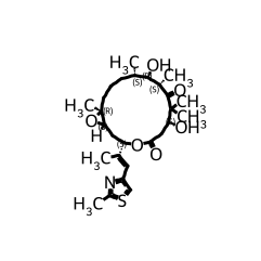 CC(=Cc1csc(C)n1)[C@@H]1C[C@@H]2O[C@]2(C)CCC[C@H](C)[C@@H](O)[C@H](C)C(=O)C(C)(C)[C@@H](O)CC(=O)O1